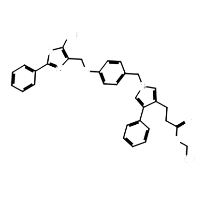 CCOC(=O)CCc1cn(Cc2ccc(OCc3nc(-c4ccccc4)sc3C)cc2)cc1-c1ccccc1